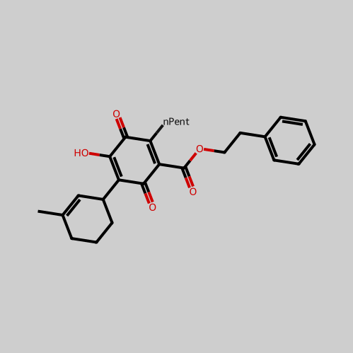 CCCCCC1=C(C(=O)OCCc2ccccc2)C(=O)C(C2C=C(C)CCC2)=C(O)C1=O